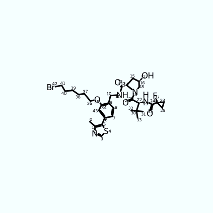 Cc1ncsc1-c1ccc(CNC(=O)[C@@H]2C[C@@H](O)CN2C(=O)[C@@H](NC(=O)C2(F)CC2)C(C)(C)C)c(OCCCCCCBr)c1